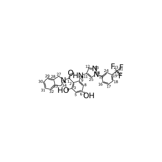 O=C(c1c(O)cc(O)cc1Nc1cnn(-c2cccc(C(F)(F)F)c2)c1)N1Cc2ccccc2C1